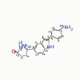 Nc1ccc(-c2cc3cc(C4=NNC(=O)CC4)ccc3[nH]2)cc1